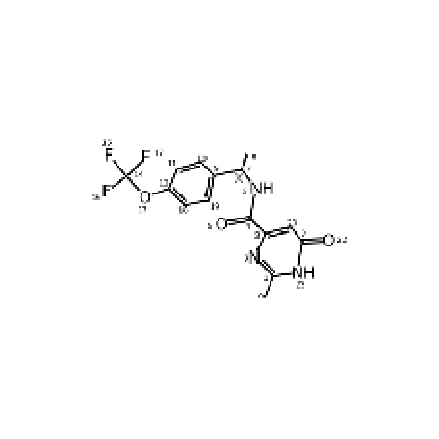 Cc1nc(C(=O)N[C@H](C)c2ccc(OC(F)(F)F)cc2)cc(=O)[nH]1